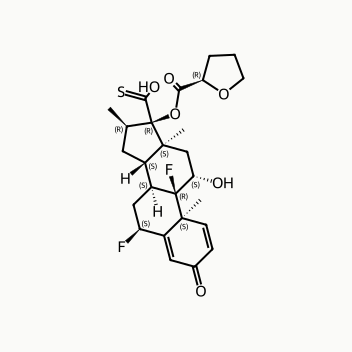 C[C@@H]1C[C@H]2[C@@H]3C[C@H](F)C4=CC(=O)C=C[C@]4(C)[C@@]3(F)[C@@H](O)C[C@]2(C)[C@@]1(OC(=O)[C@H]1CCCO1)C(O)=S